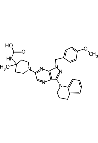 COc1ccc(Cn2nc(N3CCCc4ccccc43)c3ncc(N4CCC(C)(NC(=O)O)CC4)nc32)cc1